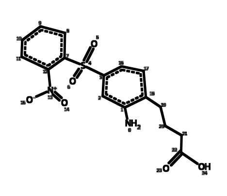 Nc1cc(S(=O)(=O)c2ccccc2[N+](=O)[O-])ccc1CCCC(=O)O